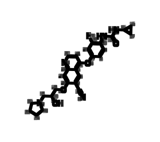 N#Cc1cc2c(Oc3ccc(NC(=O)NC4CC4)c(F)c3)ccnc2cc1OC[C@@H](O)CN1CCCC1